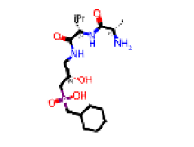 CC(C)[C@H](NC(=O)[C@H](C)N)C(=O)NC[C@H](O)CP(=O)(O)CC1CCCCC1